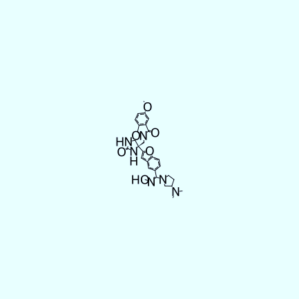 COc1ccc2c(c1)C(=O)N(C[C@@]1(c3cc4cc(/C(=N\O)N5CC[C@H](N(C)C)C5)ccc4o3)NC(=O)NC1=O)C2